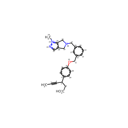 CC#CC(CC(=O)O)c1ccc(OCc2cccc(CN3Cc4cnn(C)c4C3)c2)cc1